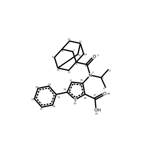 CC(C)N(C(=O)C12CC3CC(CC(C3)C1)C2)c1cc(-c2ccccc2)sc1C(=O)O